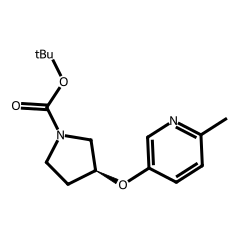 Cc1ccc(O[C@H]2CCN(C(=O)OC(C)(C)C)C2)cn1